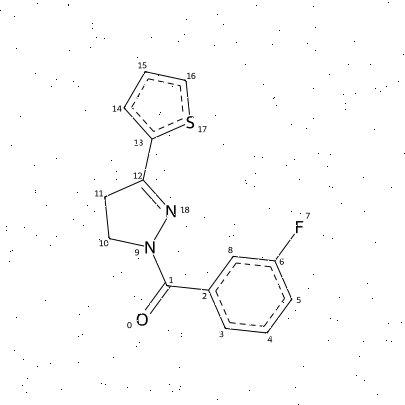 O=C(c1cccc(F)c1)N1CCC(c2cccs2)=N1